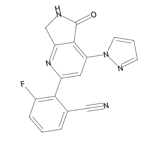 N#Cc1cccc(F)c1-c1cc(-n2cccn2)c2c(n1)CNC2=O